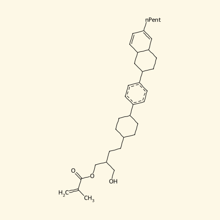 C=C(C)C(=O)OCC(CO)CCC1CCC(c2ccc(C3CCC4C=C(CCCCC)C=CC4C3)cc2)CC1